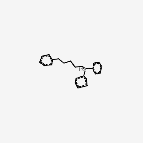 c1ccc(CCCCC[SiH](c2ccccc2)c2ccccc2)cc1